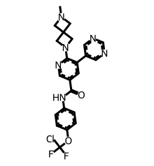 CN1CC2(C1)CN(c1ncc(C(=O)Nc3ccc(OC(F)(F)Cl)cc3)cc1-c1cncnc1)C2